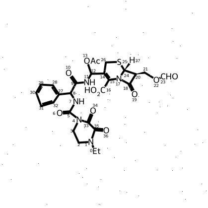 CCN1CCN(C(=O)NC(C(=O)NC(OC(C)=O)C2=C(C(=O)O)N3C(=O)[C@H](COC=O)[C@H]3SC2)c2ccccc2)C(=O)C1=O